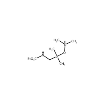 CCOC(=O)NC[Si](C)(C)O[SiH](C)C